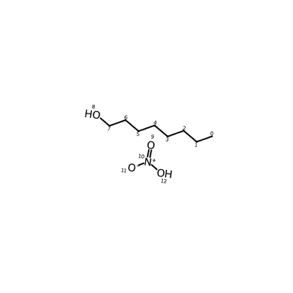 CCCCCCCCO.O=[N+]([O-])O